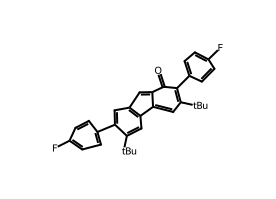 CC(C)(C)C1=C(c2ccc(F)cc2)C(=O)C2=Cc3cc(-c4ccc(F)cc4)c(C(C)(C)C)cc3C2=C1